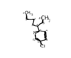 CCCCC(CC)c1ccc(Cl)cn1